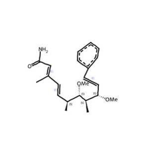 CO[C@H]([C@H](C)[C@H](/C=C/c1ccccc1)OC)[C@@H](C)/C=C/C(C)=C/C(N)=O